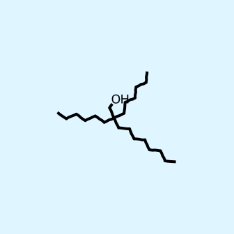 CCCCCCCCC(CO)(CCCCCC)CCCCCC